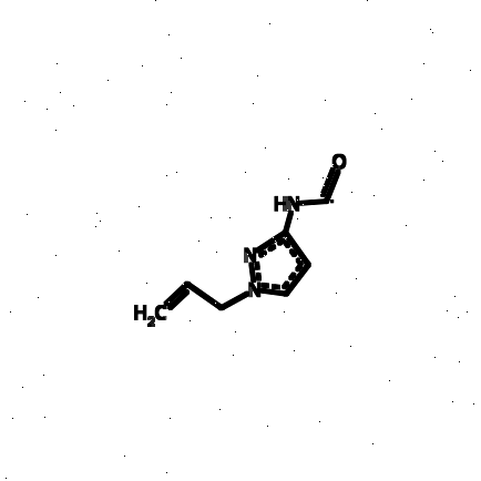 C=CCn1ccc(N[C]=O)n1